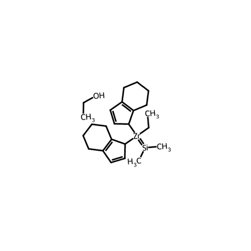 CCO.C[CH2][Zr]([CH]1C=CC2=C1CCCC2)([CH]1C=CC2=C1CCCC2)=[Si](C)C